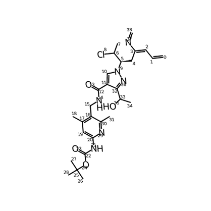 C=C/C=C(\C[C@H](C(C)Cl)n1cc(C(=O)NCc2c(C)cc(NC(=O)OC(C)(C)C)nc2C)c(C(C)O)n1)N=C